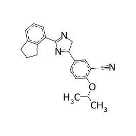 CC(C)Oc1ccc(C2=NC(c3cccc4c3CCC4)=NC2)cc1C#N